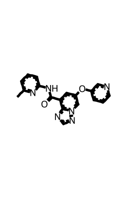 Cc1cccc(NC(=O)c2cc(Oc3cccnc3)cn3ncnc23)n1